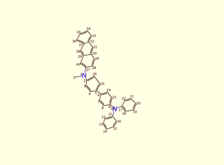 CN(c1ccc(-c2ccc(N(c3ccccc3)c3ccccc3)cc2)cc1)c1ccc2cc3ccccc3cc2c1